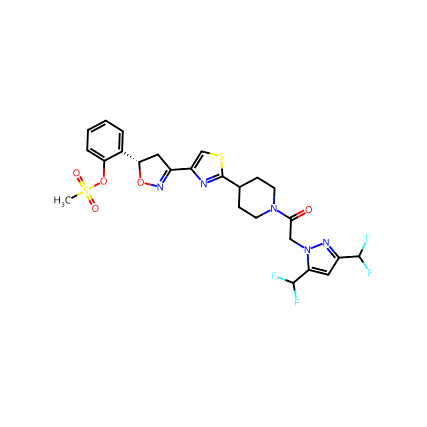 CS(=O)(=O)Oc1ccccc1[C@@H]1CC(c2csc(C3CCN(C(=O)Cn4nc(C(F)F)cc4C(F)F)CC3)n2)=NO1